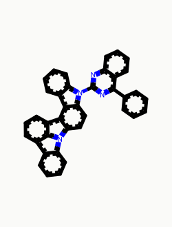 c1ccc(-c2nc(-n3c4ccccc4c4c5c6cccc7c8ccccc8n(c5ccc43)c76)nc3ccccc23)cc1